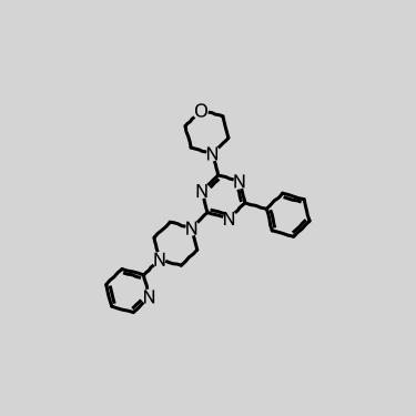 c1ccc(-c2nc(N3CCOCC3)nc(N3CCN(c4ccccn4)CC3)n2)cc1